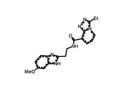 CCc1nnc2c(C(=O)NCCc3nc4ccc(OC)cc4[nH]3)cccn12